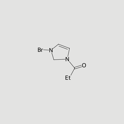 CCC(=O)N1C=CN(Br)C1